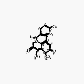 O=C1CN2CC3=C(OC(Cl)=CC3)C3=C2C(=C1O)C([N+](=O)[O-])C(=O)C3.[NaH]